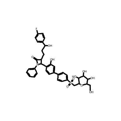 O=C1C(CCC(O)c2ccc(F)cc2)C(c2ccc(-c3ccc(S(=O)(=O)CC4OC(CO)C(O)C(O)C4O)cc3)cc2O)N1c1ccccc1